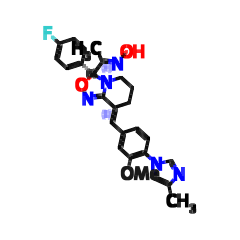 COc1cc(/C=C2\CCCN3C2=NO[C@]3(/C(C)=N/O)c2ccc(F)cc2)ccc1-n1cnc(C)c1